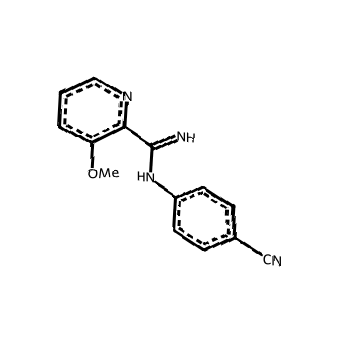 COc1cccnc1C(=N)Nc1ccc(C#N)cc1